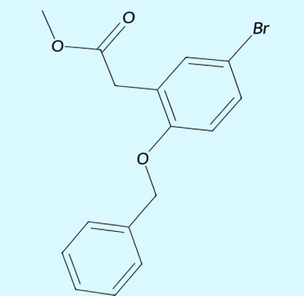 COC(=O)Cc1cc(Br)ccc1OCc1ccccc1